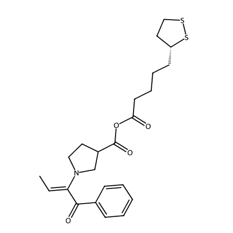 C/C=C(/C(=O)c1ccccc1)N1CCC(C(=O)OC(=O)CCCC[C@@H]2CCSS2)C1